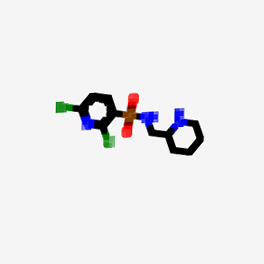 O=S(=O)(NCC1CCCCN1)c1ccc(Br)nc1Cl